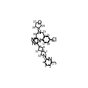 Cc1cccc(N2CC3(CC(c4nnc5n4-c4ccc(Cl)cc4CN([C@H]4CCOC4)C5)C3)C2)n1